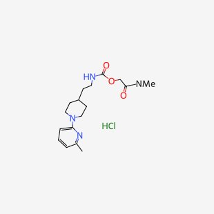 CNC(=O)COC(=O)NCCC1CCN(c2cccc(C)n2)CC1.Cl